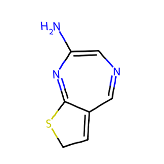 NC1=CN=CC2=CCSC2=N1